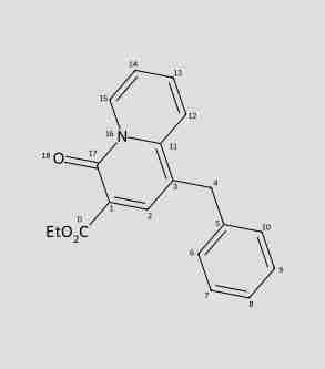 CCOC(=O)c1cc(Cc2ccccc2)c2ccccn2c1=O